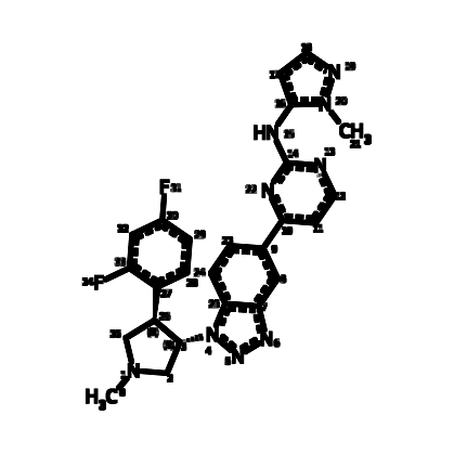 CN1C[C@@H](n2nnc3cc(-c4ccnc(Nc5ccnn5C)n4)ccc32)[C@H](c2ccc(F)cc2F)C1